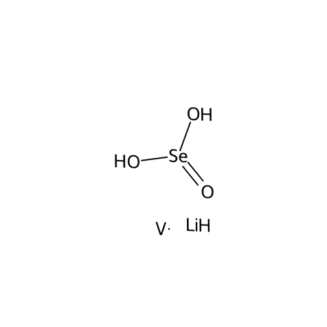 O=[Se](O)O.[LiH].[V]